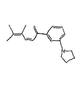 C=C(/C=C\C(C)=C(C)C)c1cccc(N2CCCC2)c1